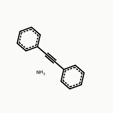 C(#Cc1ccccc1)c1ccccc1.N